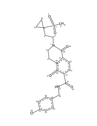 CS(=O)(=O)C1(CCN2CCn3c(ccc(C(=O)NCc4ccc(Cl)cc4)c3=O)C2=O)CC1